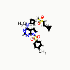 Cc1ccc(S(=O)(=O)n2ccc3c(N(C)[C@H]4C[C@@H](CS(=O)(=O)CCC5CC5)C4)ncnc32)cc1